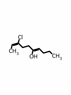 C/C=C(/Cl)CCC(O)=CCCC